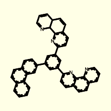 C1=CC2C=Cc3ccc(-c4cc(-c5ccc6ccc7ccccc7c6c5)cc(-c5ccc6ccc7cccnc7c6n5)c4)nc3C2N=C1